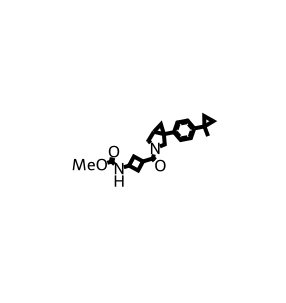 COC(=O)NC1CC(C(=O)N2CC3CC3(c3ccc(C4(C)CC4)cc3)C2)C1